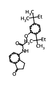 CCC(C)(C)c1ccc(C(C)(C)CC)c(OCC(=O)Nc2cccc3c2CCC3=O)c1